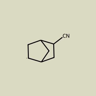 N#CC1CC2[CH]CC1C2